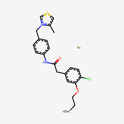 CCCCCCCCCCCCOc1cc(CC(=O)Nc2ccc(C[n+]3cscc3C)cc2)ccc1Cl.[Br-]